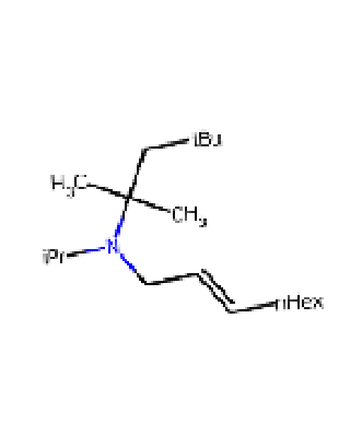 CCCCCC/C=C/CN(C(C)C)C(C)(C)CC(C)(C)C